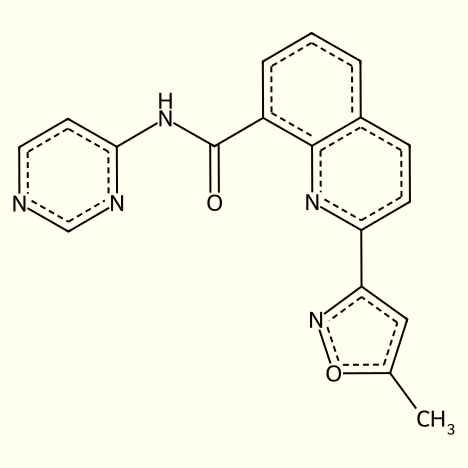 Cc1cc(-c2ccc3cccc(C(=O)Nc4ccncn4)c3n2)no1